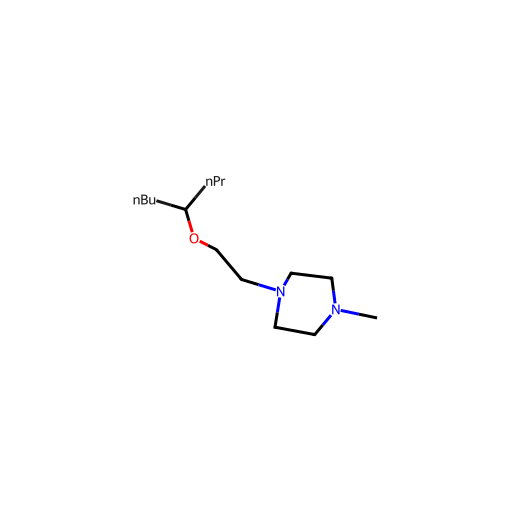 CCCCC(CCC)OCCN1CCN(C)CC1